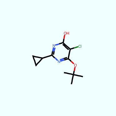 CC(C)(C)Oc1nc(C2CC2)nc(O)c1Cl